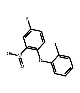 O=[N+]([O-])c1cc(F)ccc1Oc1ccccc1I